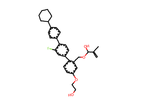 C=C(C)C(O)OCc1cc(OCCO)ccc1-c1ccc(-c2ccc(C3CCCCC3)cc2)c(F)c1